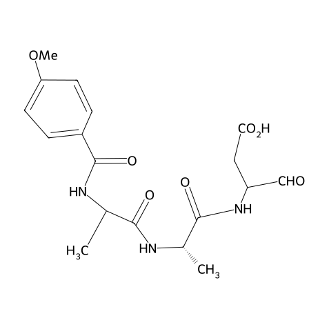 COc1ccc(C(=O)NC(C)C(=O)N[C@@H](C)C(=O)NC(C=O)CC(=O)O)cc1